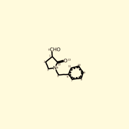 O=CC1CCN(Cc2ccccc2)C1=O